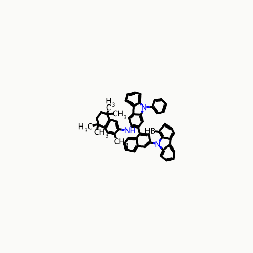 Cc1cc2c(cc1Nc1cc3c4ccccc4n(-c4ccccc4)c3cc1-c1c3c(cc4ccccc14)-n1c4ccccc4c4cccc(c41)B3)C(C)(C)CCC2(C)C